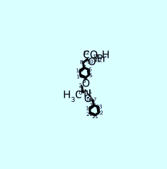 CC(COc1ccc(CC(OC(C)C)C(=O)O)cc1)=NOCc1ccccc1